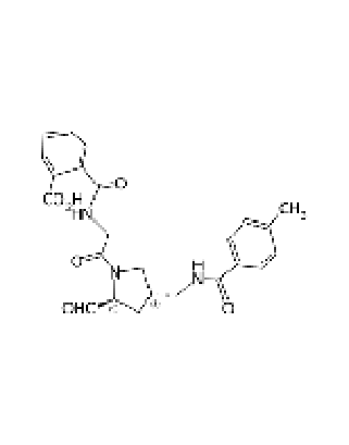 Cc1ccc(C(=O)NC[C@@H]2C[C@@H](C=O)N(C(=O)CNC(=O)c3ccccc3C(=O)O)C2)cc1